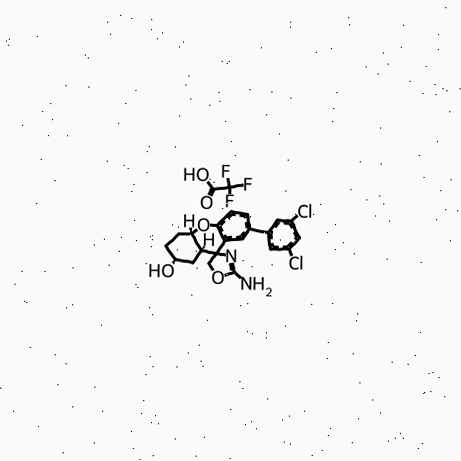 NC1=NC2(CO1)c1cc(-c3cc(Cl)cc(Cl)c3)ccc1O[C@H]1CC[C@H](O)C[C@@H]12.O=C(O)C(F)(F)F